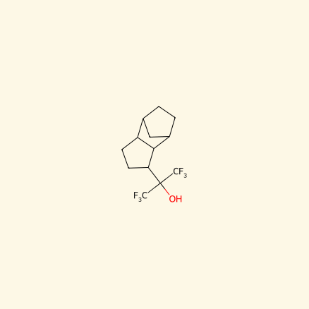 OC(C1CCC2C3CCC(C3)C21)(C(F)(F)F)C(F)(F)F